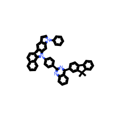 CC1(C)c2ccccc2-c2ccc(-c3nc(-c4ccc(-n5c6cc7c(ccn7-c7ccccc7)cc6c6ccc7ccccc7c65)cc4)nc4ccccc34)cc21